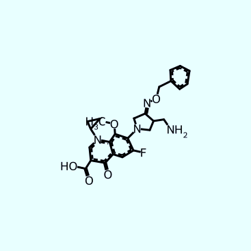 COc1c(N2CC(=NOCc3ccccc3)C(CN)C2)c(F)cc2c(=O)c(C(=O)O)cn(C3CC3)c12